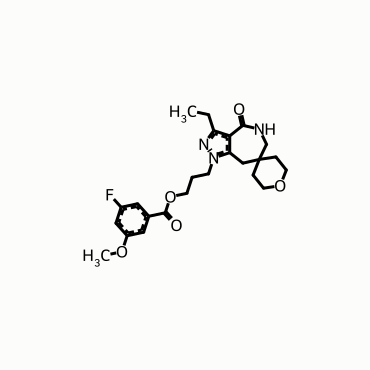 CCc1nn(CCCOC(=O)c2cc(F)cc(OC)c2)c2c1C(=O)NCC1(CCOCC1)C2